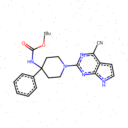 CC(C)(C)OC(=O)NC1(c2ccccc2)CCN(c2nc(C#N)c3cc[nH]c3n2)CC1